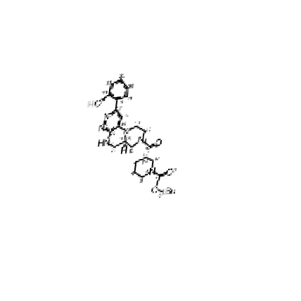 CC(C)(C)OC(=O)N1CCC[C@H](C(=O)N2CCN3c4cc(-c5ccccc5O)nnc4NC[C@H]3C2)C1